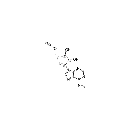 C#COC[C@H]1O[C@@H](n2cnc3c(N)ncnc32)[C@@H](O)[C@@H]1O